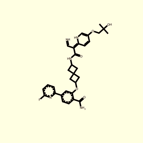 CC(C)(O)COC1=CN/C(=C(\C=N)C(=O)NC2CC3(C2)CC(Oc2cc(-c4cccc(F)n4)ccc2C(N)=O)C3)C=C1